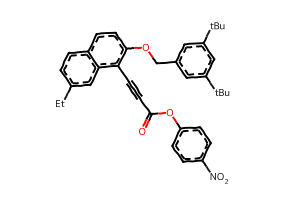 CCc1ccc2ccc(OCc3cc(C(C)(C)C)cc(C(C)(C)C)c3)c(C#CC(=O)Oc3ccc([N+](=O)[O-])cc3)c2c1